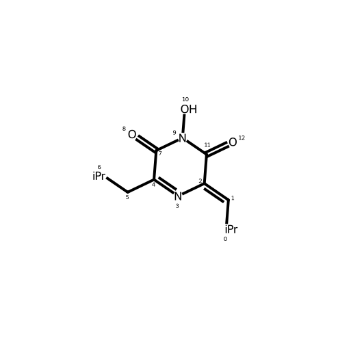 CC(C)/C=C1\N=C(CC(C)C)C(=O)N(O)C1=O